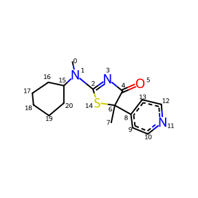 CN(C1=NC(=O)C(C)(c2ccncc2)S1)C1CCCCC1